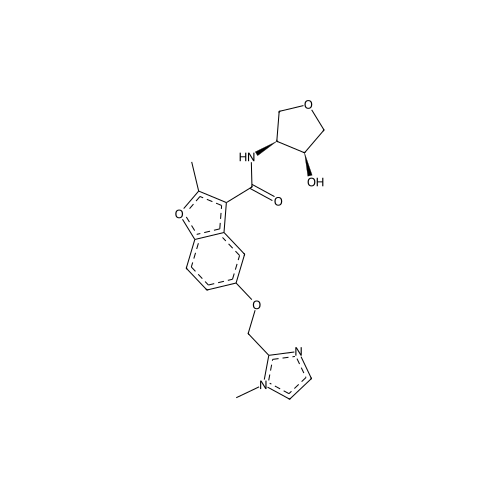 Cc1oc2ccc(OCc3nccn3C)cc2c1C(=O)N[C@H]1COC[C@H]1O